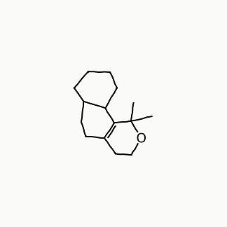 CC1(C)OCCC2=C1C1CCCCC1CC2